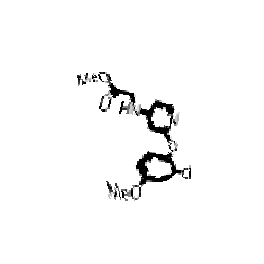 COC(=O)CNc1ccnc(Oc2ccc(OC)cc2Cl)c1